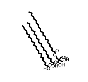 CCCCCCCCCCCCCCCCCC=CC=CC(=O)O.CCCCCCCCCCCCCCCCCC=CC=CC(=O)O.CCCCCCCCCCCCCCCCCC=CC=CC(=O)OCCC(CO)(CO)CO